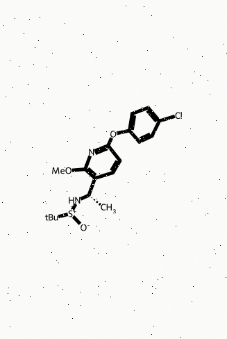 COc1nc(Oc2ccc(Cl)cc2)ccc1[C@H](C)N[S+]([O-])C(C)(C)C